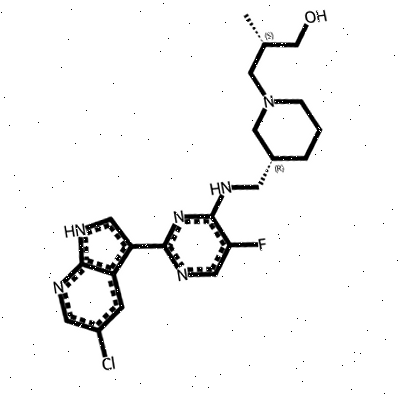 C[C@H](CO)CN1CCC[C@H](CNc2nc(-c3c[nH]c4ncc(Cl)cc34)ncc2F)C1